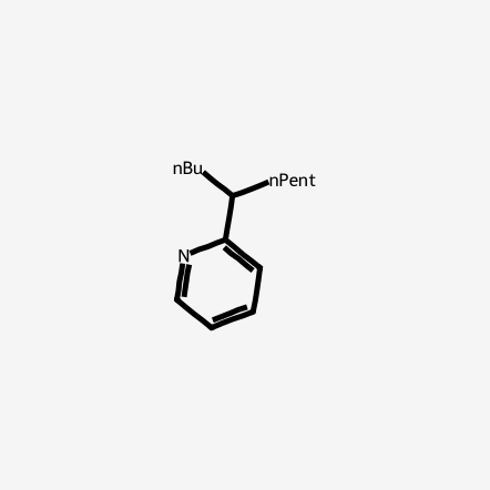 CCCCCC(CCCC)c1ccccn1